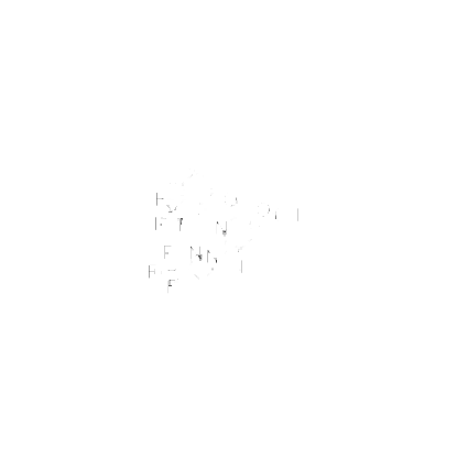 COc1cc(F)c(-n2ccc(C(F)(F)F)n2)nc1Oc1cccc(C(F)(F)F)c1